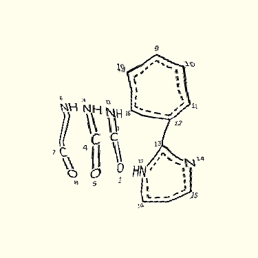 N=C=O.N=C=O.N=C=O.c1ccc(-c2ncc[nH]2)cc1